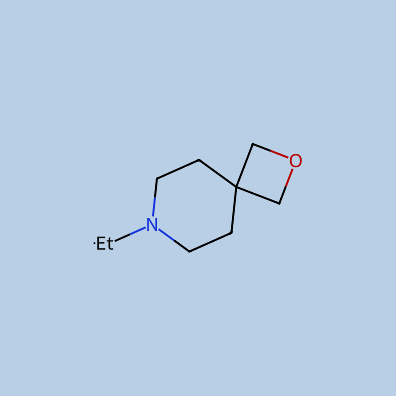 C[CH]N1CCC2(CC1)COC2